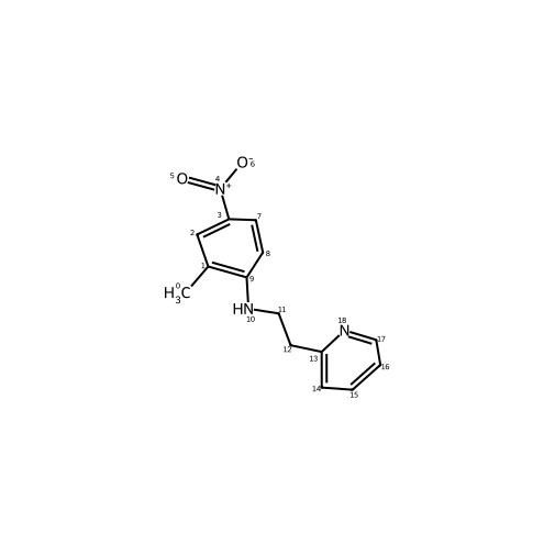 Cc1cc([N+](=O)[O-])ccc1NCCc1ccccn1